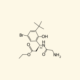 CCOC(=O)C[C@H](NC(=O)CN)c1cc(Br)cc(C(C)(C)C)c1O